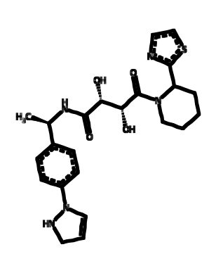 C[C@@H](NC(=O)[C@H](O)[C@@H](O)C(=O)N1CCCCC1c1nccs1)c1ccc(N2C=CCN2)cc1